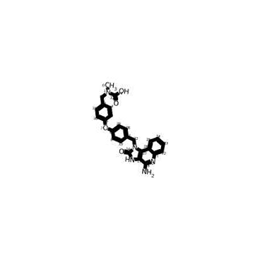 CN(Cc1ccc(Oc2ccc(Cn3c(=O)[nH]c4c(N)nc5ccccc5c43)cc2)cc1)C(=O)O